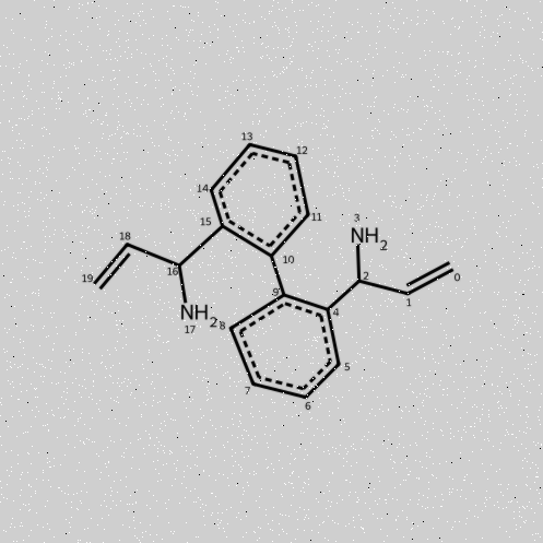 C=CC(N)c1ccccc1-c1ccccc1C(N)C=C